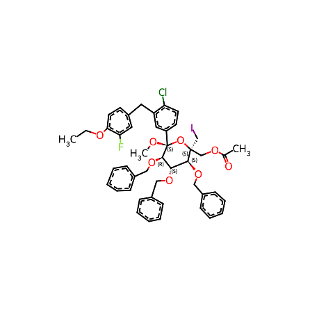 CCOc1ccc(Cc2cc([C@]3(OC)O[C@@](CI)(COC(C)=O)[C@@H](OCc4ccccc4)[C@H](OCc4ccccc4)[C@H]3OCc3ccccc3)ccc2Cl)cc1F